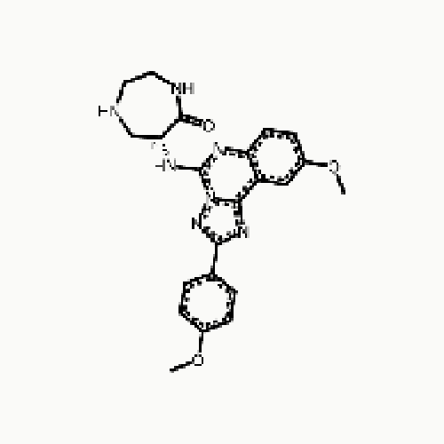 COc1ccc(-c2nc3c4cc(OC)ccc4nc(N[C@@H]4CNCCNC4=O)n3n2)cc1